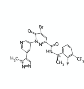 C[C@@H](NC(=O)c1cc(Br)c(=O)n(-c2cncc(-c3cnnn3C)c2)n1)c1cccc(C(F)(F)F)c1F